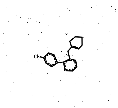 Clc1ccc(-c2ccccc2CC2=CC[CH]CC2)cc1